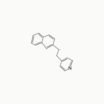 [CH](Cc1ccncc1)c1ccc2ccccc2c1